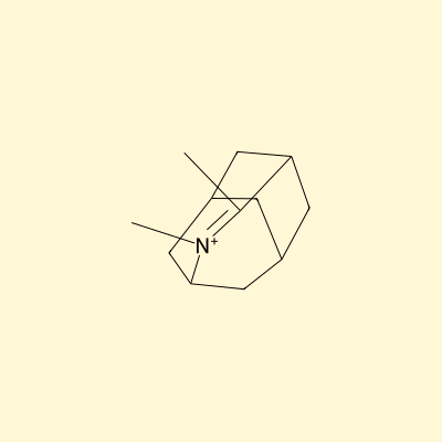 CC1=[N+](C)C2CC3CC(CC1C3)C2